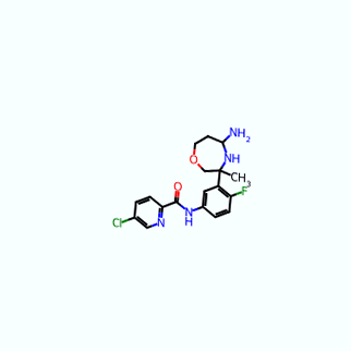 CC1(c2cc(NC(=O)c3ccc(Cl)cn3)ccc2F)COCCC(N)N1